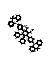 CC1(C)c2ccccc2N(c2ccc(-c3c(C=N)c(C=N)c(-c4ccc(N5c6ccccc6C(C)(C)c6ccccc65)cc4)c(-c4ccccc4)c3-c3ccccc3)cc2)c2ccccc21